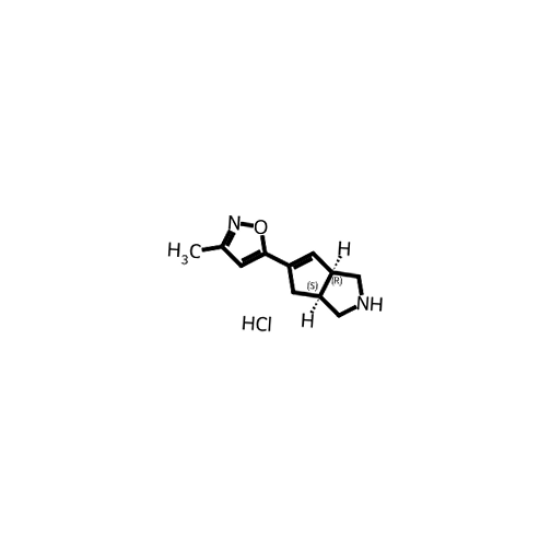 Cc1cc(C2=C[C@H]3CNC[C@H]3C2)on1.Cl